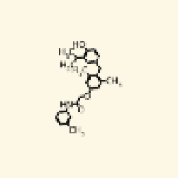 Cc1cccc(NC(=O)COc2cc(C)c(Cc3ccc(O)c(C(C)C)c3)c(C)c2)c1